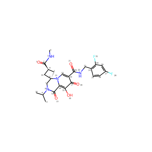 CNC(=O)[C@H]1C[C@]2(CN(C(C)C)C(=O)c3c(O)c(=O)c(C(=O)NCc4ccc(F)cc4F)cn32)C1